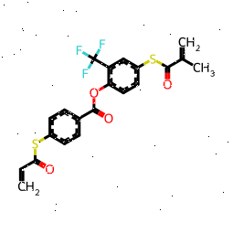 C=CC(=O)Sc1ccc(C(=O)Oc2ccc(SC(=O)C(=C)C)cc2C(F)(F)F)cc1